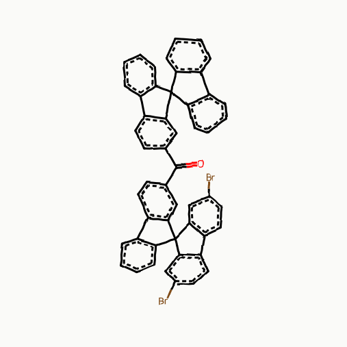 O=C(c1ccc2c(c1)C1(c3ccccc3-c3ccccc31)c1ccccc1-2)c1ccc2c(c1)C1(c3ccccc3-2)c2cc(Br)ccc2-c2ccc(Br)cc21